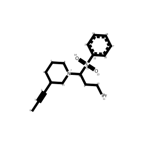 CC#CC1CCCN(C(CCC(C)C)S(=O)(=O)c2ccccc2)C1